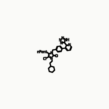 CCCCCc1c(Cl)n(CCC2CCCCC2)c(=O)n1Cc1ccc(-c2cccnc2-c2nnn[nH]2)cc1